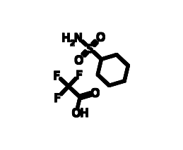 NS(=O)(=O)C1CCCCC1.O=C(O)C(F)(F)F